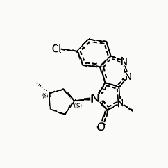 C[C@H]1CC[C@H](n2c(=O)n(C)c3nnc4ccc(Cl)cc4c32)C1